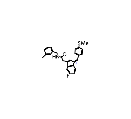 CSc1ccc(/C=C2\C=C(CC(=O)NCc3cccc(C)c3)c3cc(F)ccc32)cc1